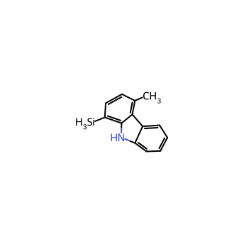 Cc1ccc([SiH3])c2[nH]c3ccccc3c12